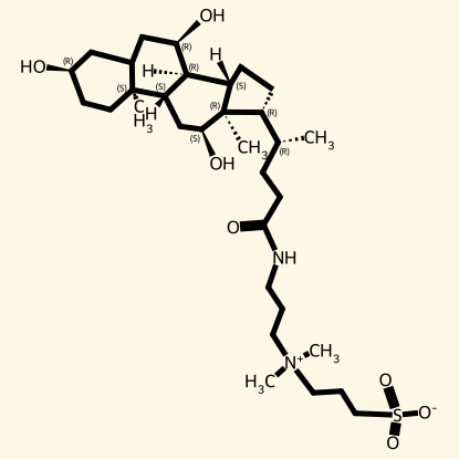 C[C@H](CCC(=O)NCCC[N+](C)(C)CCCS(=O)(=O)[O-])[C@H]1CC[C@H]2[C@@H]3[C@H](O)CC4C[C@H](O)CC[C@]4(C)[C@H]3C[C@H](O)[C@]12C